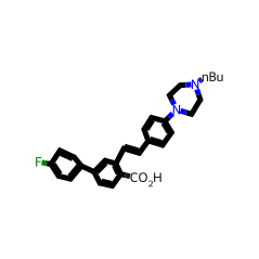 CCCCN1CCN(c2ccc(/C=C/c3cc(-c4ccc(F)cc4)ccc3C(=O)O)cc2)CC1